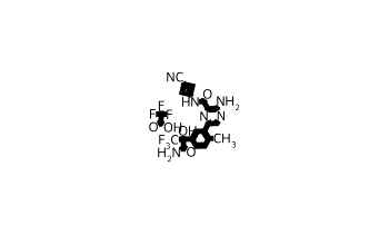 Cc1ccc(C(O)(C(N)=O)C(F)(F)F)cc1-c1cnc(N)c(C(=O)NC23CC(C#N)(C2)C3)n1.O=C(O)C(F)(F)F